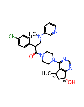 C[C@@H]1C[C@@H](O)c2ncnc(N3CCN(C(=O)C(CN(C)c4cccnc4)c4ccc(Cl)cc4)CC3)c21